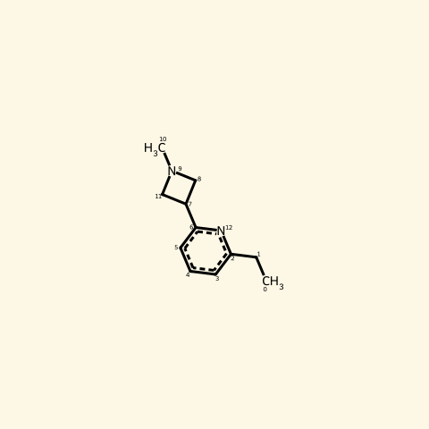 CCc1cccc(C2CN(C)C2)n1